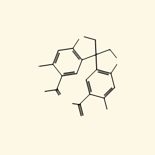 CC(=O)c1cc2c(cc1Cl)OCC21COc2cc(Cl)c(C(C)=O)cc21